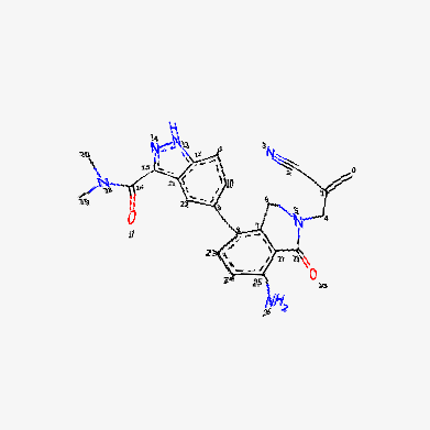 C=C(C#N)CN1Cc2c(-c3ccc4[nH]nc(C(=O)N(C)C)c4c3)ccc(N)c2C1=O